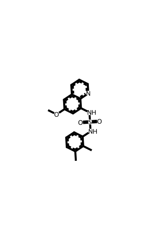 COc1cc(NS(=O)(=O)Nc2cccc(C)c2C)c2ncccc2c1